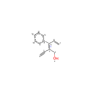 C#C/C(CO)=C(/C=C)c1ccccc1